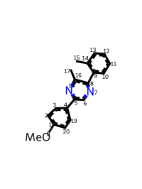 COc1ccc(-c2cnc(-c3ccccc3C)c(C)n2)cc1